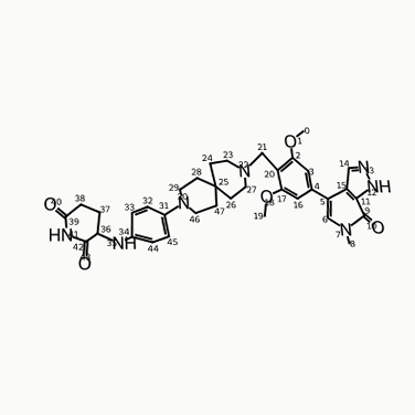 COc1cc(-c2cn(C)c(=O)c3[nH]ncc23)cc(OC)c1CN1CCC2(CC1)CCN(c1ccc(NC3CCC(=O)NC3=O)cc1)CC2